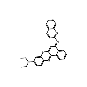 CCN(CC)c1ccc2nc3c4ccccc4c(=Nc4ccc5ccccc5n4)cc-3oc2c1